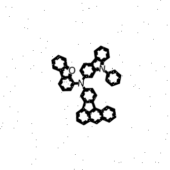 c1ccc(-n2c3ccccc3c3ccc(N(c4ccc5c(c4)-c4cccc6cc7ccccc7c-5c46)c4cccc5c4oc4ccccc45)cc32)cc1